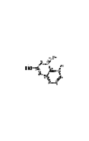 Cc1cccc2cc(O)cc(C(C)C)c12